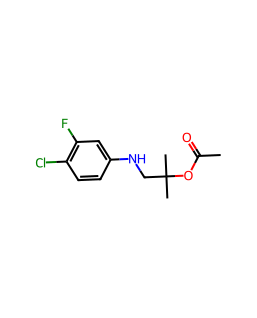 CC(=O)OC(C)(C)CNc1ccc(Cl)c(F)c1